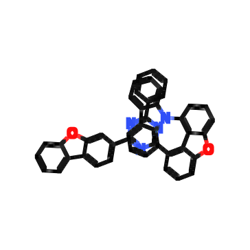 c1ccc(-c2nc(-c3ccc4c(c3)oc3ccccc34)nc(-c3cccc4oc5cccc(-n6c7ccccc7c7ccccc76)c5c34)n2)cc1